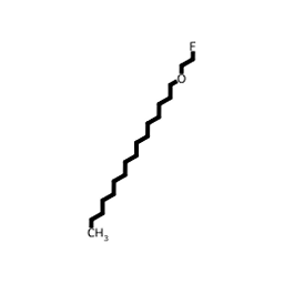 CCCCCCCCCCCCCCCCOCCF